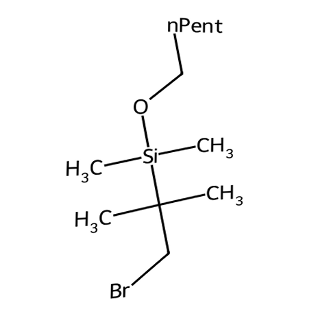 CCCCCCO[Si](C)(C)C(C)(C)CBr